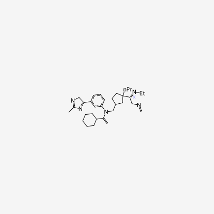 C=NC/C(=N\CC)C1(CCC)CCC(CN(C(=C)C2CCCCC2)c2cccc(C3=NC(C)=NC3)c2)C1